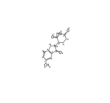 Cc1cnc2c(c1)C(=O)N(C1CCC(=O)NC1=O)C2